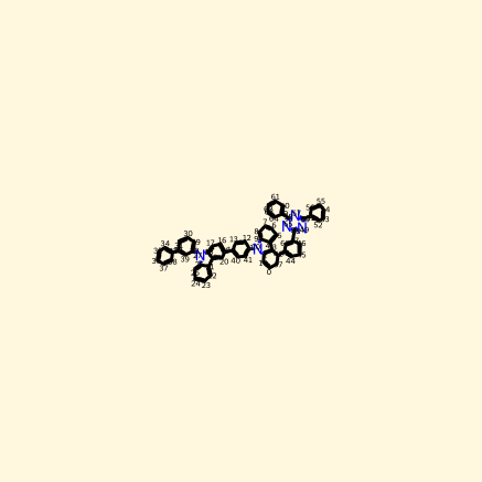 C1=Cc2c(c3ccccc3n2-c2ccc(-c3ccc4c(c3)c3ccccc3n4-c3cccc(-c4ccccc4)c3)cc2)C(c2cccc(-c3nc(-c4ccccc4)nc(-c4ccccc4)n3)c2)C1